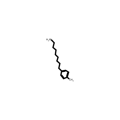 Cc1ccc(CCCCCCC[CH2][AlH2])cc1